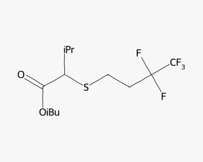 CC(C)COC(=O)C(SCCC(F)(F)C(F)(F)F)C(C)C